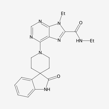 CCNC(=O)c1nc2c(N3CCC4(CC3)C(=O)Nc3ccccc34)ncnc2n1CC